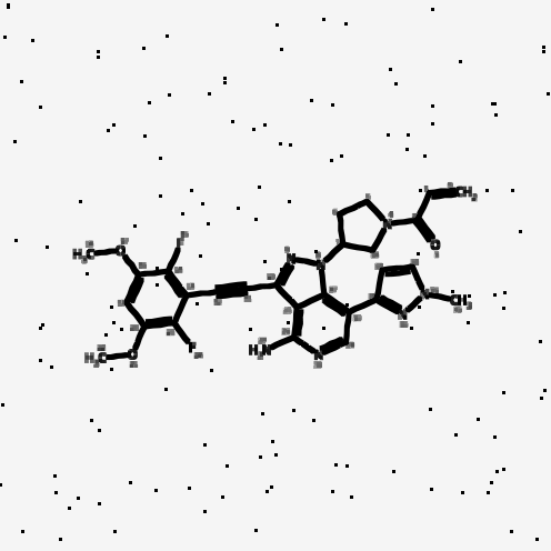 C=CC(=O)N1CCC(n2nc(C#Cc3c(F)c(OC)cc(OC)c3F)c3c(N)ncc(-c4ccn(C)n4)c32)C1